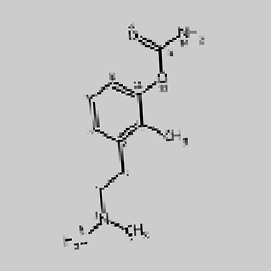 Cc1c(CCN(C)C)cccc1OC(N)=O